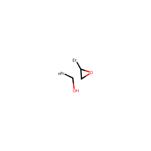 CCC1CO1.CCCCO